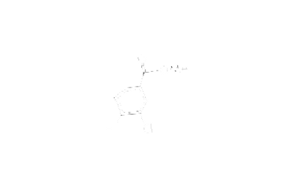 CCc1ccc(C(=O)OC)cc1Cl